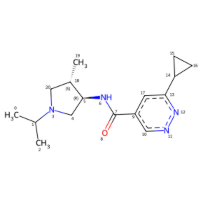 CC(C)N1C[C@H](NC(=O)c2cnnc(C3CC3)c2)[C@@H](C)C1